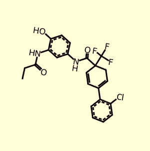 CCC(=O)Nc1cc(NC(=O)C2(C(F)(F)F)C=CC(c3ccccc3Cl)=CC2)ccc1O